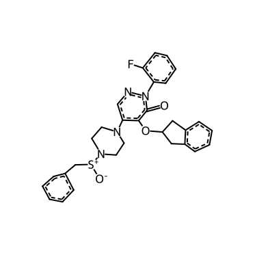 O=c1c(OC2Cc3ccccc3C2)c(N2CCN([S+]([O-])Cc3ccccc3)CC2)cnn1-c1ccccc1F